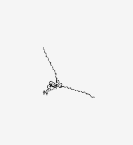 CCCCCCCCCCCCCCCCC=COC[C@H](COP(=O)(O)OCC[N+](C)(C)C)OC=CCCCCCCCCCCCCCCCC